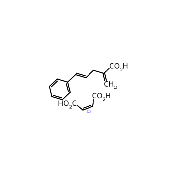 C=C(CC=Cc1ccccc1)C(=O)O.O=C(O)/C=C\C(=O)O